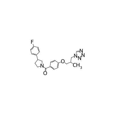 CC(COc1ccc(C(=O)N2CCC(c3ccc(F)cc3)C2)cc1)Cn1cnnn1